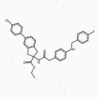 CCOC(=O)C1(NC(=O)Cc2ccc(NCc3ccc(F)cc3)cc2)Cc2ccc(-c3ccc(Cl)cc3)cc2C1